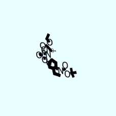 CCOC(=O)[C@H](C)NP(=O)(Cl)Oc1ccc2c(ccn2C(=O)OC(C)(C)C)c1